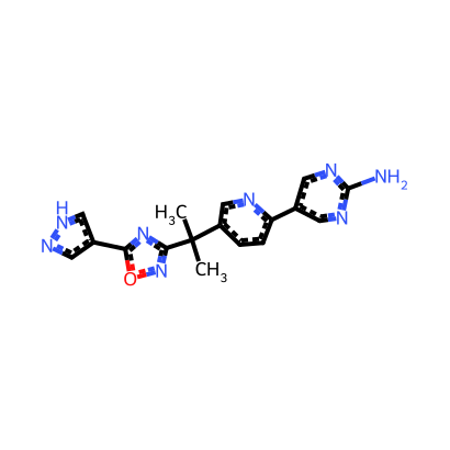 CC(C)(c1ccc(-c2cnc(N)nc2)nc1)c1noc(-c2cn[nH]c2)n1